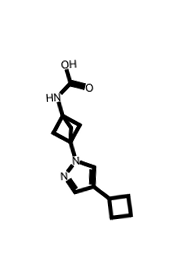 O=C(O)NC12CC(n3cc(C4CCC4)cn3)(C1)C2